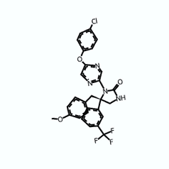 COc1ccc(C[C@]2(c3cccc(C(F)(F)F)c3)CNC(=O)N2c2cnc(Oc3ccc(Cl)cc3)cn2)cc1